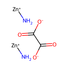 O=C([O-])C(=O)[O-].[NH2][Zn+].[NH2][Zn+]